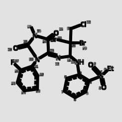 CCS(=O)(=O)c1ccccc1NC(N=C1C(=O)N(C)C(=O)N1c1ccccc1F)C(Br)(Br)CCl